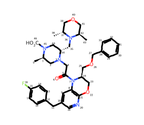 C[C@@H]1CN(CC(=O)N2c3cc(Cc4ccc(F)cc4)cnc3OC[C@@H]2COCc2ccccc2)[C@@H](CN2[C@H](C)COC[C@H]2C)CN1C(=O)O